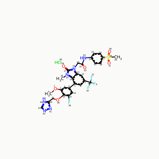 COc1cc(-c2cc(C(F)(F)F)cc3c2n(C)c(=O)n3CC(=O)Nc2ccc(S(C)(=O)=O)cc2)cc(F)c1OCc1nnc[nH]1.Cl